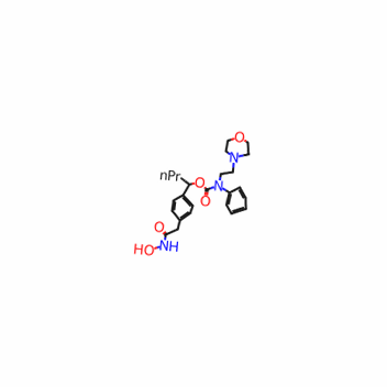 CCCC(OC(=O)N(CCN1CCOCC1)c1ccccc1)c1ccc(CC(=O)NO)cc1